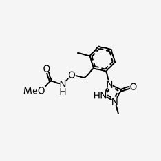 COC(=O)NOCc1c(C)cccc1-n1[nH]n(C)c1=O